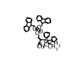 C#CC(=CCOP(=O)(OCC1c2ccccc2-c2ccccc21)OCC1c2ccccc2-c2ccccc21)CO[Si](c1ccccc1)(c1ccccc1)C(C)(C)C